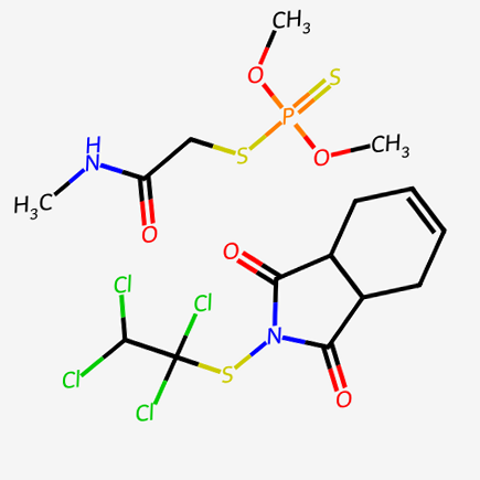 CNC(=O)CSP(=S)(OC)OC.O=C1C2CC=CCC2C(=O)N1SC(Cl)(Cl)C(Cl)Cl